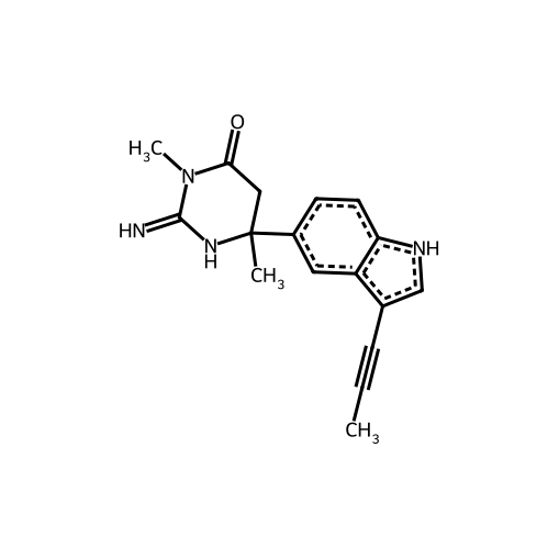 CC#Cc1c[nH]c2ccc(C3(C)CC(=O)N(C)C(=N)N3)cc12